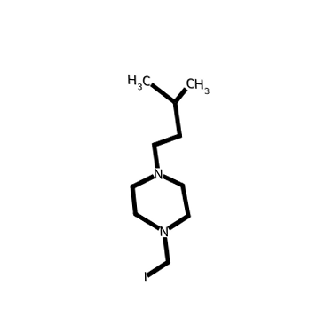 CC(C)CCN1CCN(CI)CC1